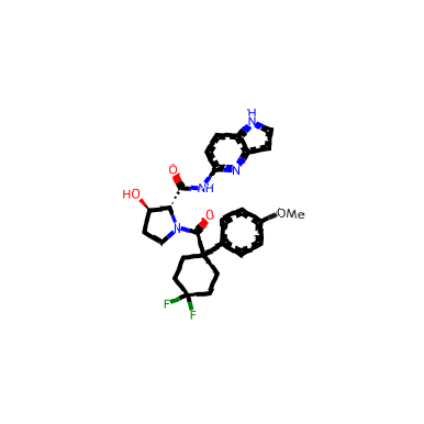 COc1ccc(C2(C(=O)N3CC[C@@H](O)[C@@H]3C(=O)Nc3ccc4[nH]ccc4n3)CCC(F)(F)CC2)cc1